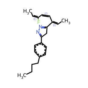 C\C=C(F)/C=C\C(=C/C)C1=NN=C(c2ccc(CCCC)cc2)C1